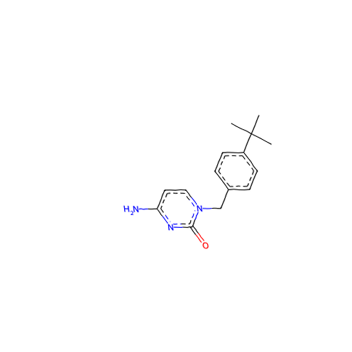 CC(C)(C)c1ccc(Cn2ccc(N)nc2=O)cc1